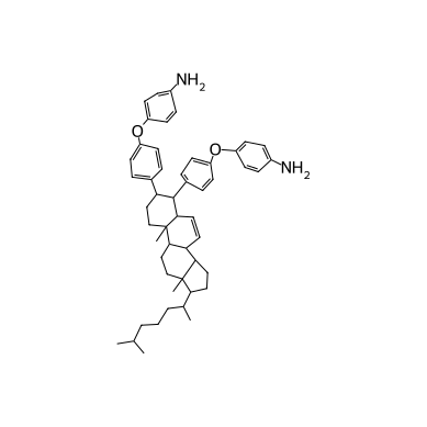 CC(C)CCCC(C)C1CCC2C3C=CC4C(c5ccc(Oc6ccc(N)cc6)cc5)C(c5ccc(Oc6ccc(N)cc6)cc5)CCC4(C)C3CCC12C